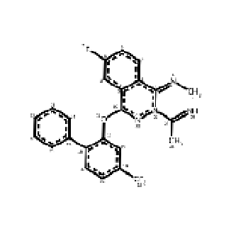 C/N=c1/c2ccc(F)cc2c(Oc2cc(C(F)(F)F)ccc2-c2ccccc2)nn1C(C)=N